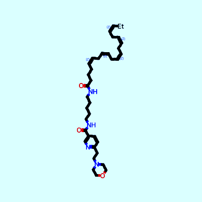 CC/C=C\C/C=C\C/C=C\C/C=C\C/C=C\CCCC(=O)NCCCCCNC(=O)c1ccc(CCN2CCOCC2)nc1